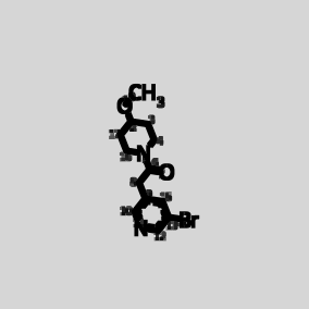 COC1CCN(C(=O)Cc2cncc(Br)c2)CC1